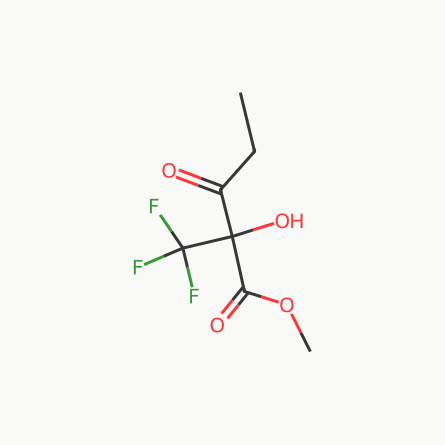 CCC(=O)C(O)(C(=O)OC)C(F)(F)F